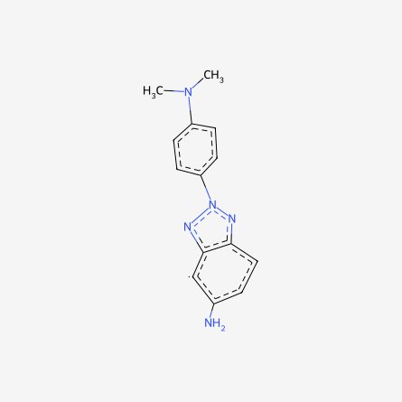 CN(C)c1ccc(-n2nc3[c]c(N)ccc3n2)cc1